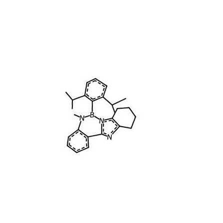 CC(C)c1cccc(C(C)C)c1B1N(C)c2ccccc2-c2nc3c(n21)CCCC3